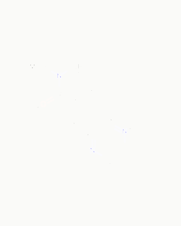 CON(C)C(=O)c1ccc2nc(C)cnc2c1